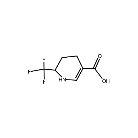 O=C(O)C1=CNC(C(F)(F)F)CC1